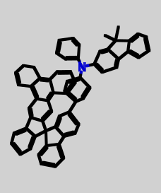 CC1(C)c2ccccc2-c2ccc(N(c3ccccc3)c3ccc(-c4ccc5c(c4)C4(c6ccccc6-5)c5ccccc5-c5cc6c7c(c8ccccc8c6cc54)CCC=C7)cc3)cc21